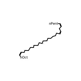 CCCCC/C=C\C/C=C\CCCCCCC[CH]CCCCCCCC/C=C\CCCCCCCC